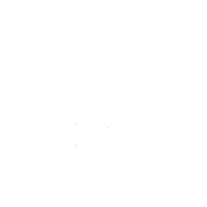 COc1ccc(-c2c(C(=O)O)n(Cc3cc4c(cc3Cl)OCO4)c3ccccc23)c(CC(=O)O)c1